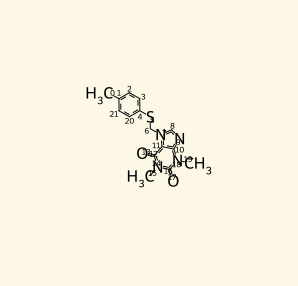 Cc1ccc(SCn2cnc3c2c(=O)n(C)c(=O)n3C)cc1